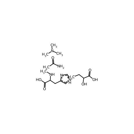 CC(N)=O.CCC(O)C(=O)O.CN(C)C.CNC(Cc1c[nH]cn1)C(=O)O